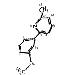 COc1cccc(-c2cccc(C)n2)c1